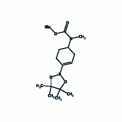 CN(C(=O)OC(C)(C)C)C1CC=C(B2OC(C)(C)C(C)(C)O2)CC1